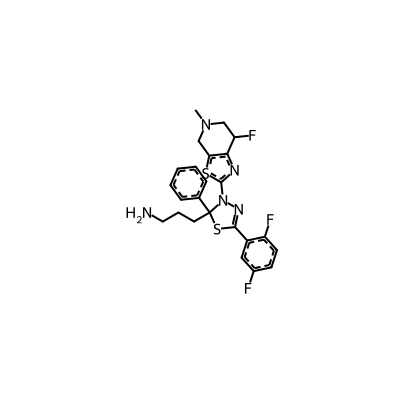 CN1Cc2sc(N3N=C(c4cc(F)ccc4F)SC3(CCCN)c3ccccc3)nc2C(F)C1